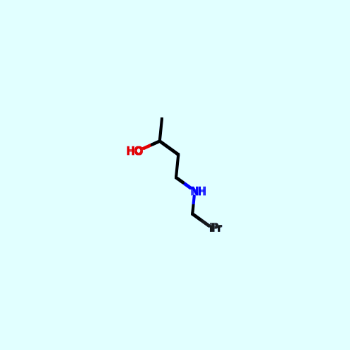 CC(C)CNCCC(C)O